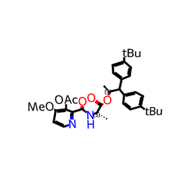 COc1ccnc(C(=O)N[C@@H](C)C(=O)O[C@@H](C)C(c2ccc(C(C)(C)C)cc2)c2ccc(C(C)(C)C)cc2)c1OC(C)=O